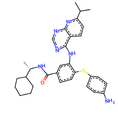 CC(C)c1ccc2c(Nc3cc(C(=O)N[C@@H](C)C4CCCCC4)ccc3Sc3ccc(N)cc3)ncnc2n1